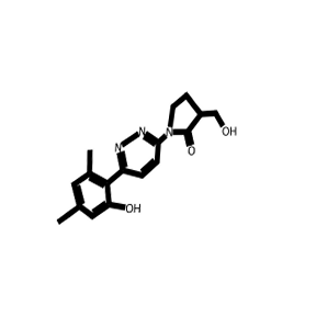 Cc1cc(C)c(-c2ccc(N3CCC(CO)C3=O)nn2)c(O)c1